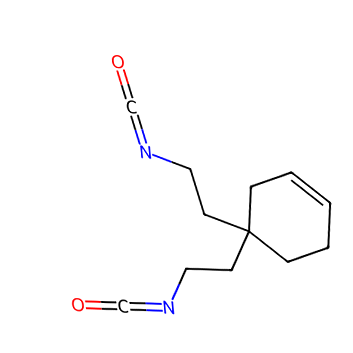 O=C=NCCC1(CCN=C=O)CC=CCC1